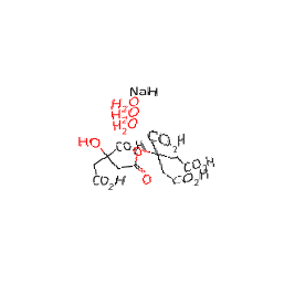 O.O.O.O=C(O)CC(O)(CC(=O)OC(CC(=O)O)(CC(=O)O)C(=O)O)C(=O)O.[NaH]